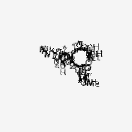 CC[C@H]1OC(=O)[C@H](C)[C@@H](O[C@H]2C[C@@](C)(OC)[C@@H](O)[C@H](C)O2)[C@H](C)[C@@H](O[C@@H]2O[C@H](C)[C@@H](OCCN=[N+]=[N-])[C@H](N(C)C)[C@H]2O)[C@](C)(O)C[C@@H](C)C(=O)[C@H](C)[C@@H](O)[C@]1(C)O